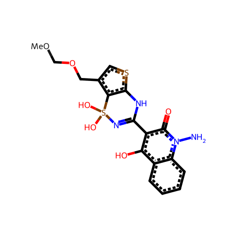 COCOCc1csc2c1S(O)(O)N=C(c1c(O)c3ccccc3n(N)c1=O)N2